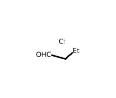 CCCC=O.[C]